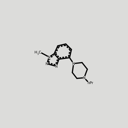 CCCN1CCN(c2cccc3c2nnn3C)CC1